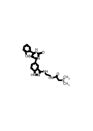 CC(C)COc1ccccc1-c1cc(-c2ccc3[nH]nc(NCCNC(=O)CN(C)C)c3c2)nc(=O)[nH]1